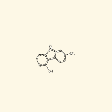 Oc1nccc2[nH]c3cc(C(F)(F)F)ccc3c12